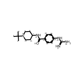 CC(C)(C)N1CCC(NC(=O)c2ccc(NC(=N)N)cc2)CC1